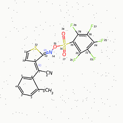 Cc1ccccc1/C(C#N)=C1\C=CS\C1=N/OS(=O)(=O)c1c(F)c(F)c(F)c(F)c1F